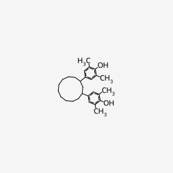 Cc1cc(C2CCCCCCCCCC(c3cc(C)c(O)c(C)c3)C2)cc(C)c1O